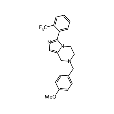 COc1ccc(CN2CCn3c(cnc3-c3ccccc3C(F)(F)F)C2)cc1